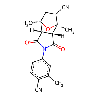 C[C@]12CC(C#N)[C@](C)(O1)[C@@H]1C(=O)N(c3ccc(C#N)c(C(F)(F)F)c3)C(=O)[C@@H]12